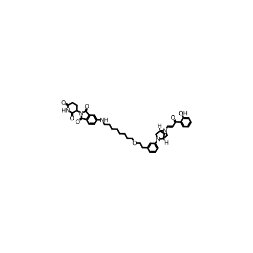 O=C1CCC(N2C(=O)c3ccc(NCCCCCCCCOCCc4cccc(N5C[C@H]6C[C@@H]5CN6/C=C/C(=O)c5ccccc5O)c4)cc3C2=O)C(=O)N1